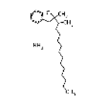 CCCCCCCCCCCCC(C)C(C)(Cl)Cc1ccccc1.N